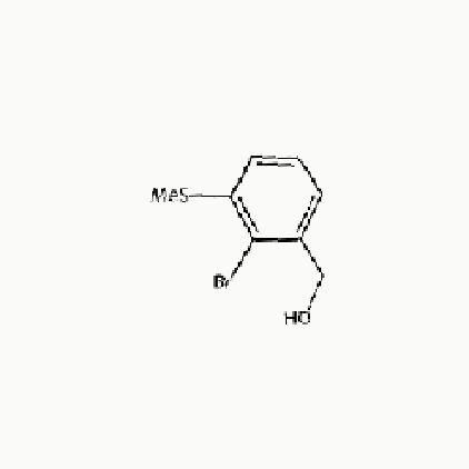 CSc1cccc(CO)c1Br